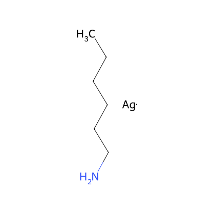 CCCCCCN.[Ag]